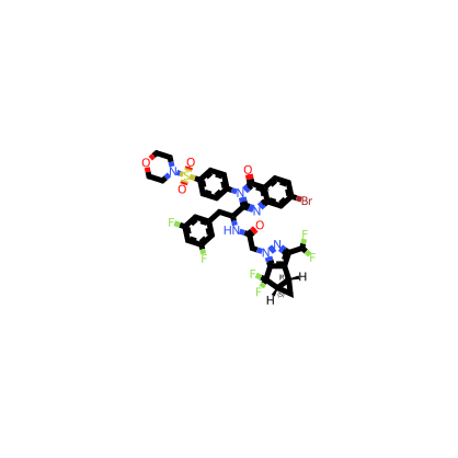 O=C(Cn1nc(C(F)F)c2c1C(F)(F)[C@H]1C[C@@H]21)NC(Cc1cc(F)cc(F)c1)c1nc2cc(Br)ccc2c(=O)n1-c1ccc(S(=O)(=O)N2CCOCC2)cc1